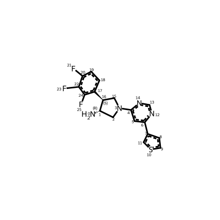 N[C@H]1CN(c2cc(-c3ccsc3)ncn2)C[C@@H]1c1ccc(F)c(F)c1F